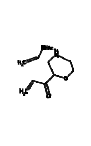 C=CC(=O)C1CNCCO1.C=CNC(C)=O